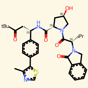 Cc1ncsc1-c1ccc([C@H](CC(=O)C(C)(C)C)NC(=O)[C@@H]2C[C@@H](O)CN2C(=O)[C@H](C(C)C)N2Cc3ccccc3C2=O)cc1